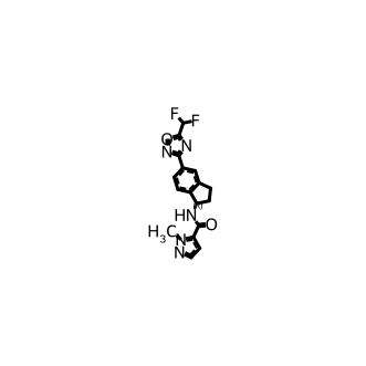 Cn1nccc1C(=O)N[C@@H]1CCc2cc(-c3noc(C(F)F)n3)ccc21